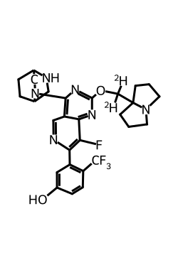 [2H]C([2H])(Oc1nc(N2CC3CCC2CN3)c2cnc(-c3cc(O)ccc3C(F)(F)F)c(F)c2n1)C12CCCN1CCC2